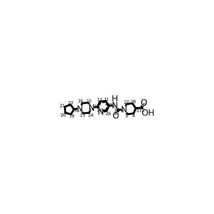 O=C(O)C1CCN(C(=O)Nc2ccc(N3CCN(C4CCCC4)CC3)nc2)CC1